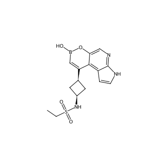 CCS(=O)(=O)N[C@H]1C[C@@H](C2=CB(O)Oc3cnc4[nH]ccc4c32)C1